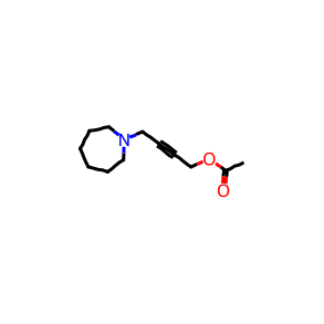 CC(=O)OCC#CCN1CCCCCC1